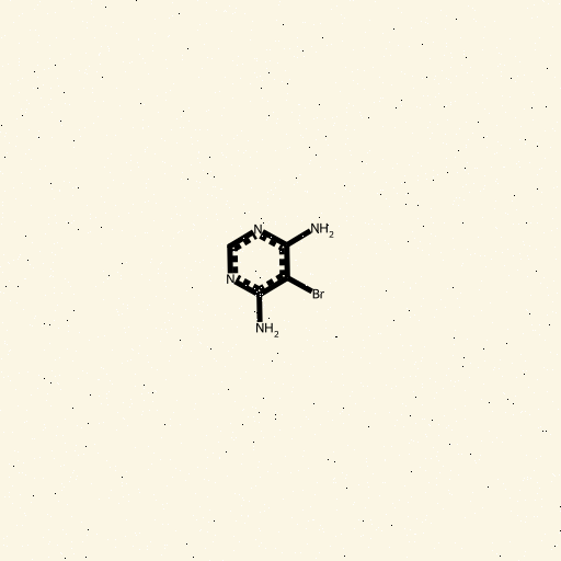 Nc1ncnc(N)c1Br